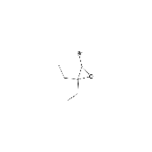 CCC1(CC)OC1Br